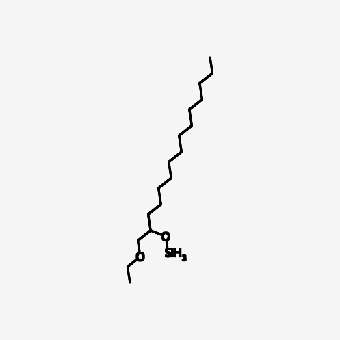 CCCCCCCCCCCCCC(COCC)O[SiH3]